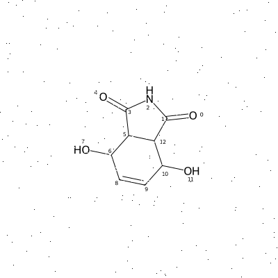 O=C1NC(=O)C2C(O)C=CC(O)C12